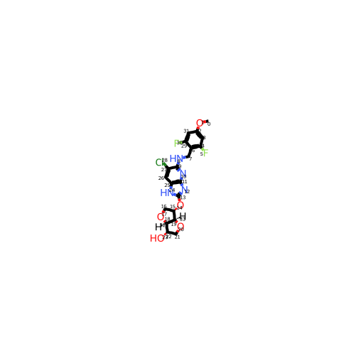 COc1cc(F)c(CNc2nc3nc(O[C@@H]4CO[C@H]5[C@@H]4OC[C@H]5O)[nH]c3cc2Cl)c(F)c1